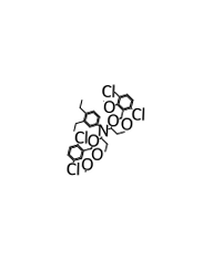 CCc1ccc(N(C(CC)OC(=O)c2c(Cl)ccc(Cl)c2OC)C(CC)OC(=O)c2c(Cl)ccc(Cl)c2OC)cc1CC